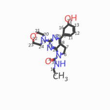 CCNC(=O)N1CCc2c(C3=CC=CC(O)C3)nc(N3CCOCC3)nc21